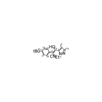 CCn1nc(C)c(C)c1C(O)=C(C#N)c1ccc(C(C)(C)C)cc1